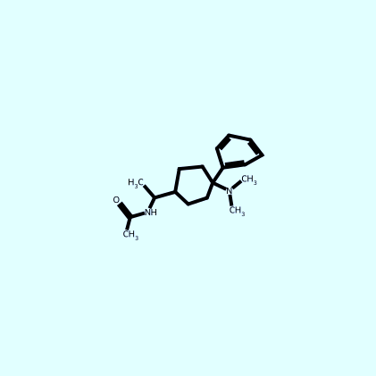 CC(=O)NC(C)C1CCC(c2ccccc2)(N(C)C)CC1